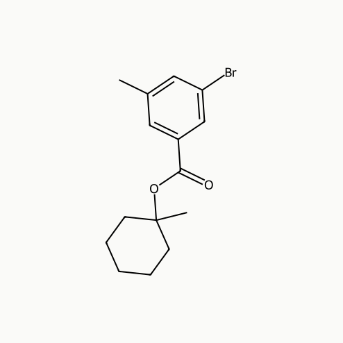 Cc1cc(Br)cc(C(=O)OC2(C)CCCCC2)c1